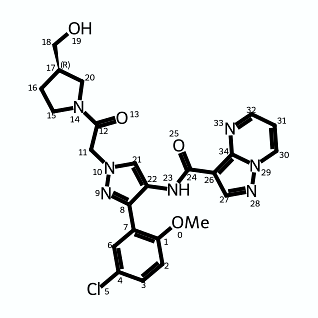 COc1ccc(Cl)cc1-c1nn(CC(=O)N2CC[C@@H](CO)C2)cc1NC(=O)c1cnn2cccnc12